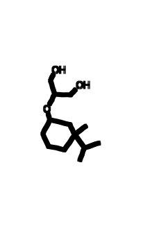 CC(C)C1(C)CCCC(OC(CO)CO)C1